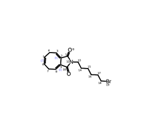 O=C1C2=C/C/C=C\C/C=C\2C(=O)N1CCCCCCBr